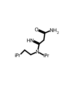 CC(C)CCN(C(=N)CC(N)=O)C(C)C